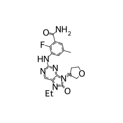 CCn1c(=O)n([C@@H]2CCOC2)c2nc(Nc3cc(C)cc(C(N)=O)c3F)ncc21